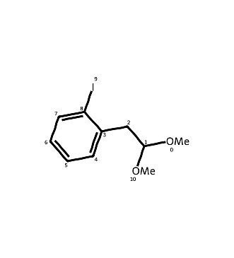 COC(Cc1ccccc1I)OC